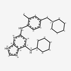 Cc1cc(CN2CCCCC2)ccc1Nc1nc(NC2CCCCC2)c2nc[nH]c2n1